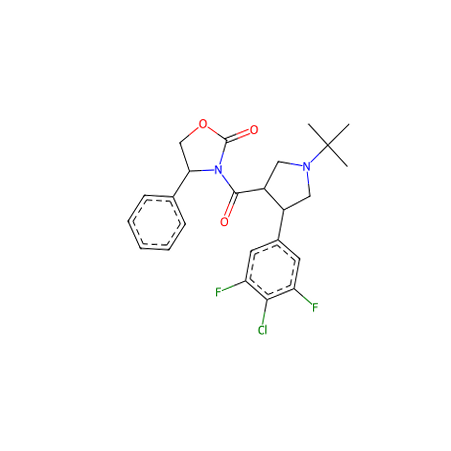 CC(C)(C)N1CC(C(=O)N2C(=O)OCC2c2ccccc2)C(c2cc(F)c(Cl)c(F)c2)C1